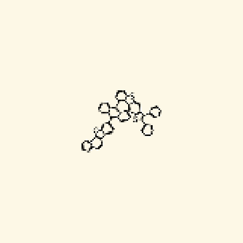 c1ccc(-c2sc3cc4c(cc3c2-c2ccccc2)sc2cccc(-c3c5ccccc5c(-c5ccc6c(c5)oc5c7ccccc7ccc65)c5ccccc35)c24)cc1